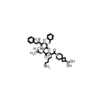 CC(C)C[C@@H](NC(=O)[C@@H](Cc1ccccc1)NC(=O)[C@H](N)Cc1ccccc1)C(=O)N[C@H](CCCCN)C(=O)N1CCC2(CC1)CC(B(O)O)C2